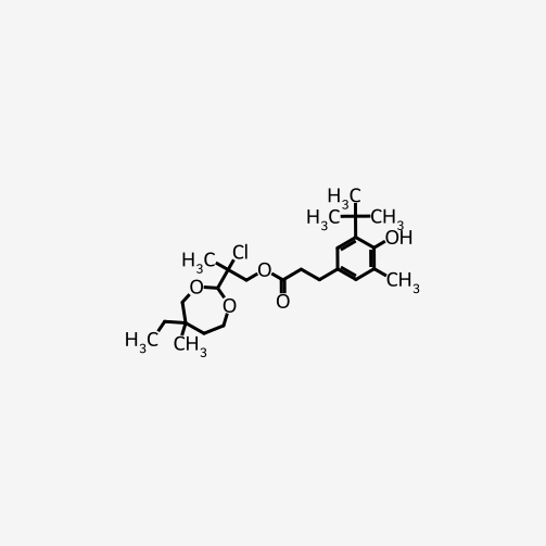 CCC1(C)CCOC(C(C)(Cl)COC(=O)CCc2cc(C)c(O)c(C(C)(C)C)c2)OC1